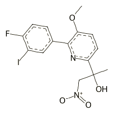 COc1ccc(C(C)(O)C[N+](=O)[O-])nc1-c1ccc(F)c(I)c1